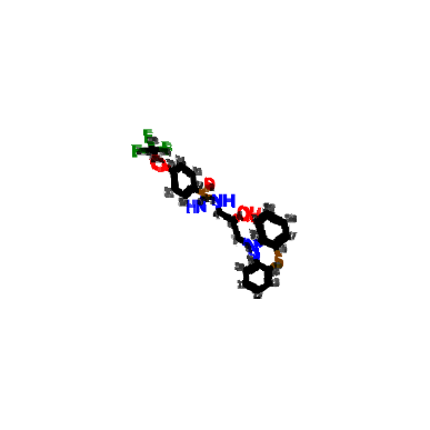 N=S(=O)(NCC(O)CN1c2ccccc2Sc2ccccc21)c1ccc(OC(F)(F)F)cc1